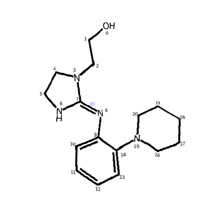 OCCN1CCN/C1=N\c1ccccc1N1CCCCC1